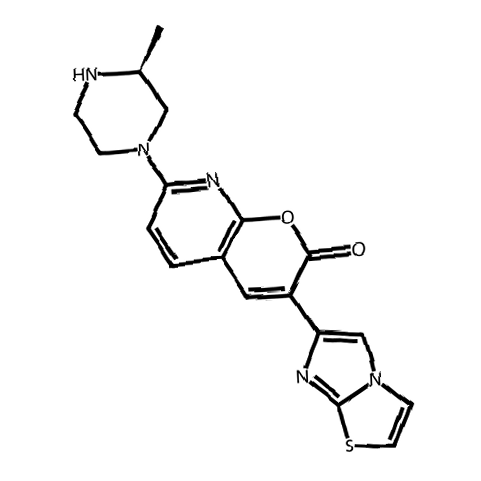 C[C@H]1CN(c2ccc3cc(-c4cn5ccsc5n4)c(=O)oc3n2)CCN1